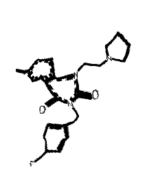 Cc1ccc2c(c1)c(=O)n(CC1=CCC(F)C=C1)c(=O)n2CCN1CCCC1